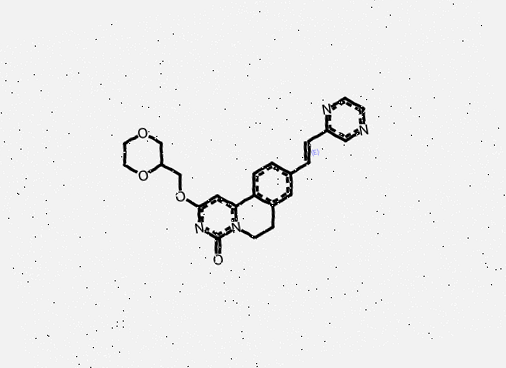 O=c1nc(OCC2COCCO2)cc2n1CCc1cc(/C=C/c3cnccn3)ccc1-2